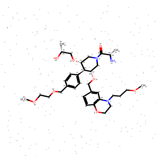 COCCCN1CCOc2ccc(CO[C@H]3CN(C(=O)[C@H](C)N)C[C@@H](OC[C@@H](C)O)[C@@H]3c3ccc(COCCOC)cc3)cc21